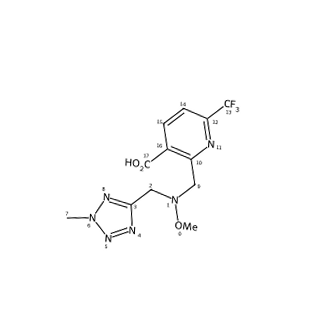 CON(Cc1nnn(C)n1)Cc1nc(C(F)(F)F)ccc1C(=O)O